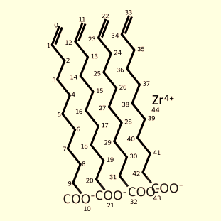 C=CCCCCCCCCC(=O)[O-].C=CCCCCCCCCC(=O)[O-].C=CCCCCCCCCC(=O)[O-].C=CCCCCCCCCC(=O)[O-].[Zr+4]